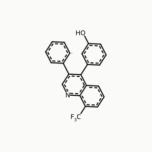 Oc1cccc(-c2c(-c3[c]cccc3)cnc3c(C(F)(F)F)cccc23)c1